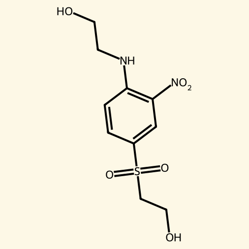 O=[N+]([O-])c1cc(S(=O)(=O)CCO)ccc1NCCO